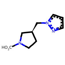 O=C(O)N1CC[C@H](Cn2cccn2)C1